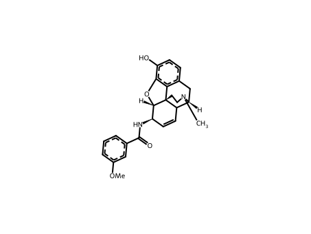 COc1cccc(C(=O)N[C@@H]2C=CC3[C@H]4Cc5ccc(O)c6c5[C@@]3(CCN4C)[C@H]2O6)c1